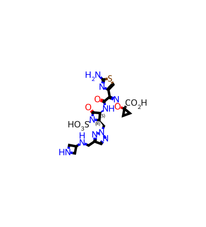 Nc1nc(C(=NOC2(C(=O)O)CC2)C(=O)N[C@@H]2C(=O)N(S(=O)(=O)O)[C@@H]2Cn2ncc(CNC3CNC3)n2)cs1